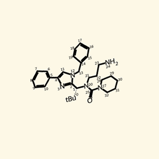 CC(C)(C)[C@H](c1nc(-c2ccccc2)cn1Cc1ccccc1)N(CCCN)C(=O)N1CCCCC1